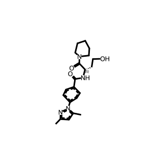 Cc1cc(C)n(-c2ccc(C(=O)N[C@@H](CCO)C(=O)N3CCCCC3)cc2)n1